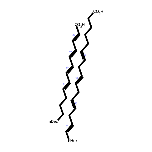 CCCCCC/C=C/C/C=C/C/C=C/C/C=C/CCCCC(=O)O.CCCCCCCCCCCCC/C=C/C=C/C=C/C=C/C(=O)O